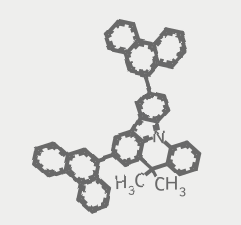 CC1(C)c2ccccc2-n2c3ccc(-c4cc5ccccc5c5ccccc45)cc3c3cc(-c4cc5ccccc5c5ccccc45)cc1c32